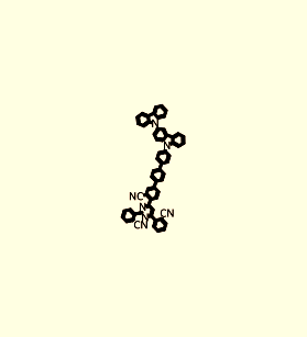 N#Cc1ccccc1-c1cc(-c2ccc(-c3ccc(-c4ccc(-n5c6ccccc6c6cc(-n7c8ccccc8c8ccccc87)ccc65)cc4)cc3)cc2C#N)nc(-c2ccccc2C#N)n1